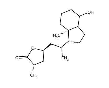 C[C@H](C[C@H]1C[C@H](C)C(=O)O1)[C@H]1CCC2C(O)CCC[C@@]21C